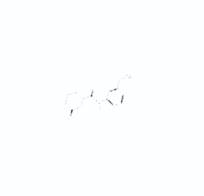 NCc1cccc(NC(=O)C2CCCC(=O)O2)c1